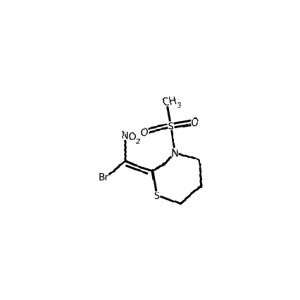 CS(=O)(=O)N1CCCSC1=C(Br)[N+](=O)[O-]